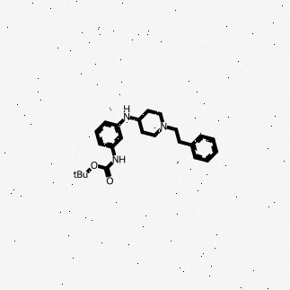 CC(C)(C)OC(=O)Nc1cccc(NC2CCN(CCc3ccccc3)CC2)c1